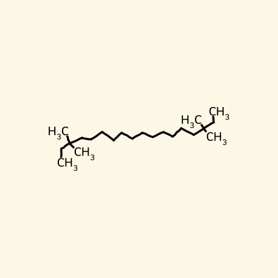 CCC(C)(C)CCCCCCCCCCCCC(C)(C)CC